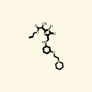 C=CCOC(=O)C(C#N)=c1sc(=CNc2cccc(OCCN3CCCCC3)c2)c(=O)n1CC